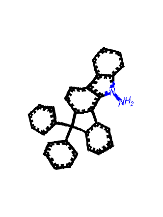 Nn1c2ccccc2c2ccc3c(c21)-c1ccccc1C3(c1ccccc1)c1ccccc1